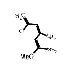 C=C(Cl)/C=C(N)\C=C(/N)OC